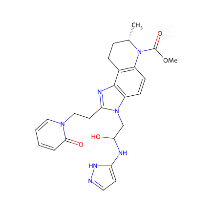 COC(=O)N1c2ccc3c(nc(CCn4ccccc4=O)n3CC(O)Nc3ccn[nH]3)c2CC[C@@H]1C